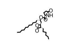 CCCCCCCCCCC[C@@H](C[C@@H]1OC(=O)[C@H]1CCCCCC)OC(=O)[C@H]1CCC(=O)N1